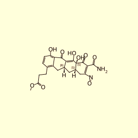 COC(=O)CCc1ccc(O)c2c1C[C@H]1C[C@H]3CC(N=O)=C(C(N)=O)C(=O)[C@@]3(O)C(O)=C1C2=O